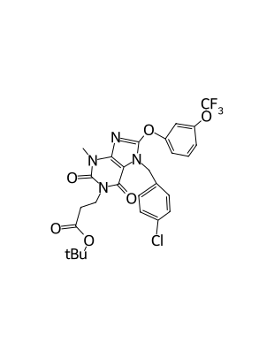 Cn1c(=O)n(CCC(=O)OC(C)(C)C)c(=O)c2c1nc(Oc1cccc(OC(F)(F)F)c1)n2Cc1ccc(Cl)cc1